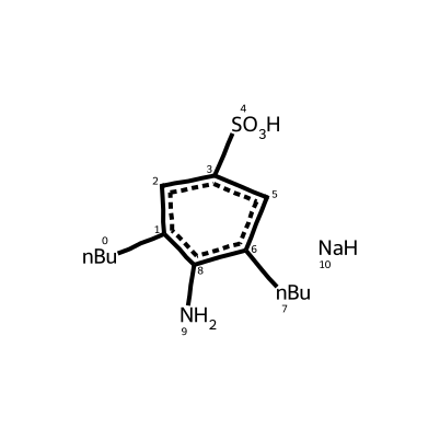 CCCCc1cc(S(=O)(=O)O)cc(CCCC)c1N.[NaH]